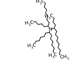 CCCCCCCCCC(CCCC)N(C(CCCCC)CCCCCCCC)C(CCCCCC)CCCCCCC